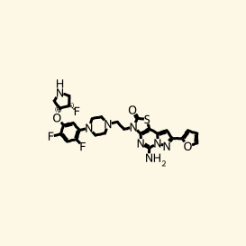 Nc1nc2c(sc(=O)n2CCN2CCN(c3cc(O[C@@H]4CNC[C@@H]4F)c(F)cc3F)CC2)c2cc(-c3ccco3)nn12